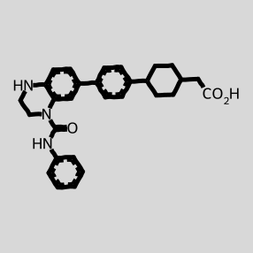 O=C(O)CC1CCC(c2ccc(-c3ccc4c(c3)N(C(=O)Nc3ccccc3)CCN4)cc2)CC1